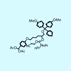 CCCN(CCC)P(OCCC#N)OC(CCCCOc1ccc(C(OC(C)=O)OC(C)=O)cc1)COC(c1ccccc1)(c1ccc(OC)cc1)c1ccc(OC)cc1